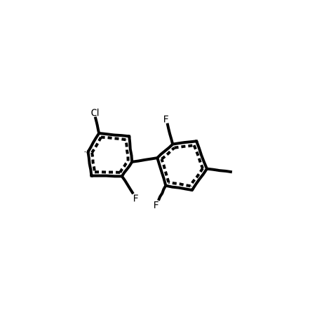 Cc1cc(F)c(-c2cc(Cl)[c]cc2F)c(F)c1